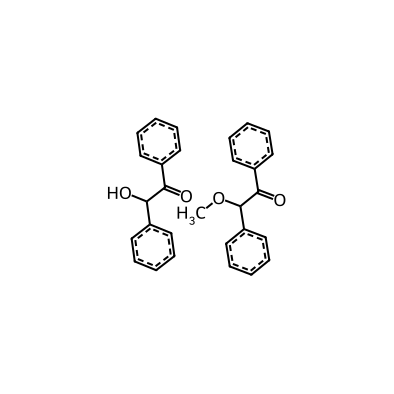 COC(C(=O)c1ccccc1)c1ccccc1.O=C(c1ccccc1)C(O)c1ccccc1